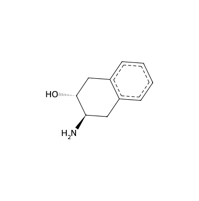 N[C@@H]1Cc2ccccc2C[C@H]1O